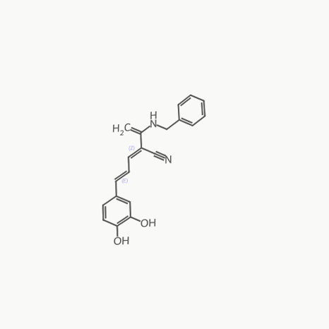 C=C(NCc1ccccc1)/C(C#N)=C/C=C/c1ccc(O)c(O)c1